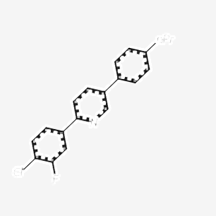 CCCc1ccc(-c2ccc(-c3ccc(Cl)c(F)c3)nc2)cc1